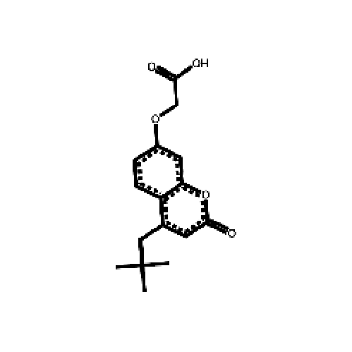 CC(C)(C)Cc1cc(=O)oc2cc(OCC(=O)O)ccc12